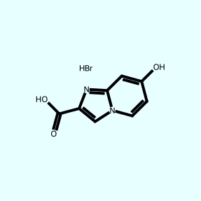 Br.O=C(O)c1cn2ccc(O)cc2n1